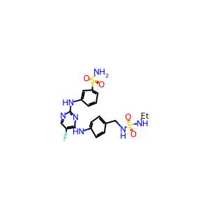 CCNS(=O)(=O)NCc1ccc(Nc2nc(Nc3cccc(S(N)(=O)=O)c3)ncc2F)cc1